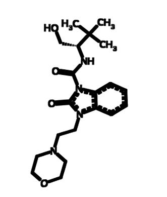 CC(C)(C)[C@@H](CO)NC(=O)n1c(=O)n(CCN2CCOCC2)c2ccccc21